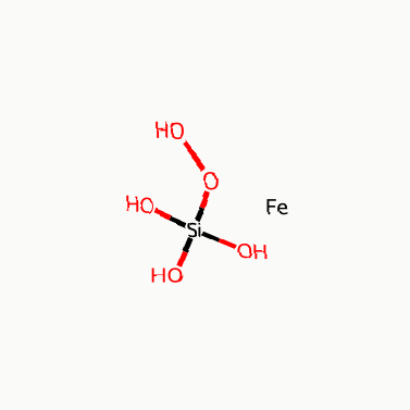 OO[Si](O)(O)O.[Fe]